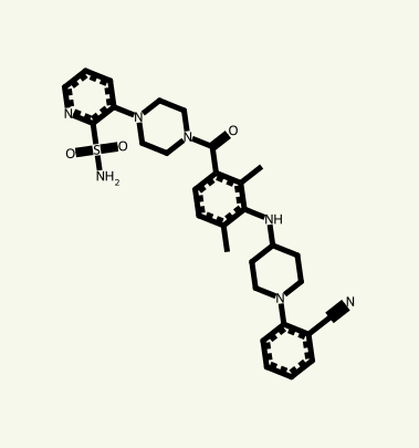 Cc1ccc(C(=O)N2CCN(c3cccnc3S(N)(=O)=O)CC2)c(C)c1NC1CCN(c2ccccc2C#N)CC1